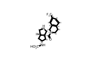 O=C(O)N[C@@H]1C[C@H]2CNC[C@@]2(C(=O)N2CCc3ccc(C(F)(F)F)cc3C2)C1